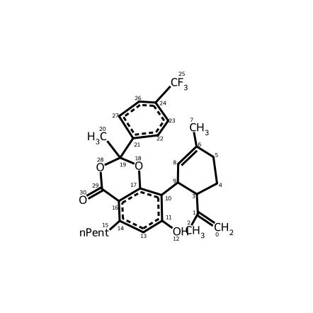 C=C(C)C1CCC(C)=CC1c1c(O)cc(CCCCC)c2c1OC(C)(c1ccc(C(F)(F)F)cc1)OC2=O